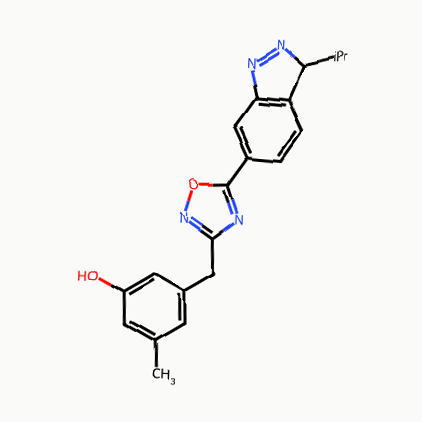 Cc1cc(O)cc(Cc2noc(-c3ccc4c(c3)N=NC4C(C)C)n2)c1